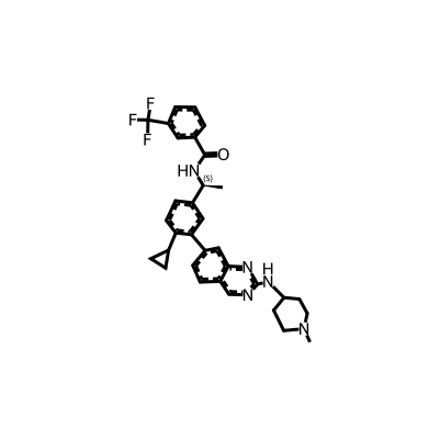 C[C@H](NC(=O)c1cccc(C(F)(F)F)c1)c1ccc(C2CC2)c(-c2ccc3cnc(NC4CCN(C)CC4)nc3c2)c1